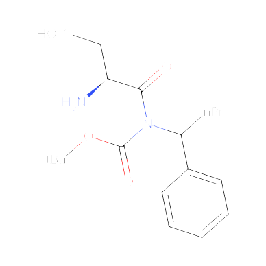 CCCC(c1ccccc1)N(C(=O)OC(C)(C)C)C(=O)[C@@H](N)CC(=O)O